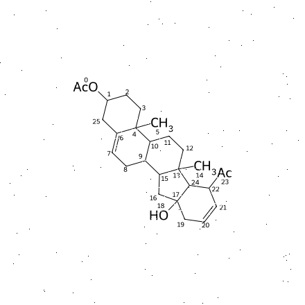 CC(=O)OC1CCC2(C)C(=CCC3C2CCC2(C)C3CC3(O)CC=CC(C(C)=O)C32)C1